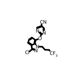 N#Cc1cnc(Oc2cccc3c(Cl)nn(CCCC(F)(F)F)c23)nc1